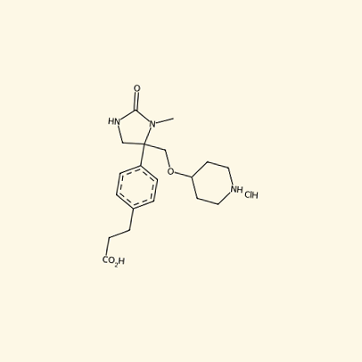 CN1C(=O)NCC1(COC1CCNCC1)c1ccc(CCC(=O)O)cc1.Cl